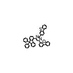 c1ccc(C2(c3ccccc3)c3ccccc3-c3c(-c4cc(-c5cccc6c5oc5ccccc56)nc(-c5ccc6c(c5)sc5ccccc56)n4)cccc32)cc1